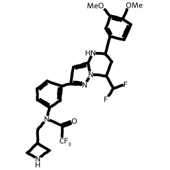 COc1ccc(C2CC(C(F)F)n3nc(-c4cccc(N(CC5CNC5)C(=O)C(F)(F)F)c4)cc3N2)cc1OC